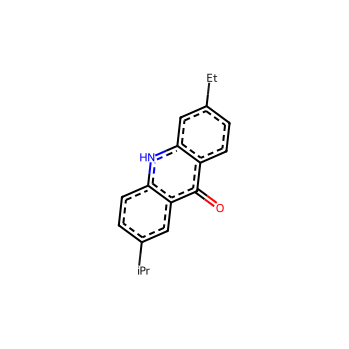 CCc1ccc2c(=O)c3cc(C(C)C)ccc3[nH]c2c1